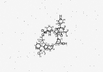 CCn1c(-c2cccnc2[C@H](C)OC)c2c3cc(ccc31)-c1cc(O)cc(c1)C[C@H](NC(=O)C(C(C)C)N(C)C(=O)C1CC3CC1CN3)C(=O)N1CCC[C@H](N1)C(=O)OCC(C)(C)C2